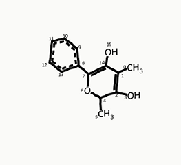 CC1=C(O)C(C)OC(c2ccccc2)=C1O